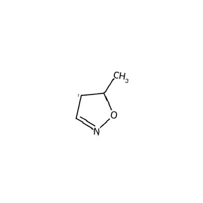 CC1[C]C=NO1